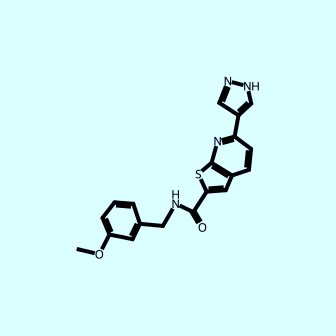 COc1cccc(CNC(=O)c2cc3ccc(-c4cn[nH]c4)nc3s2)c1